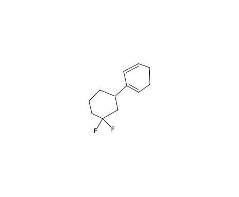 FC1(F)CCCC(C2=CCCC=C2)C1